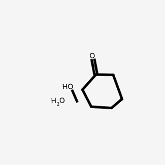 CO.O.O=C1CCCCC1